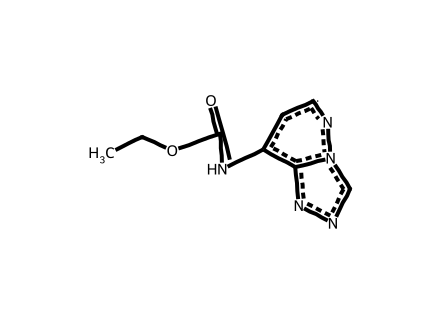 CCOC(=O)Nc1c[c]nn2cnnc12